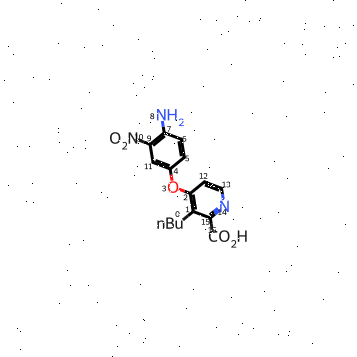 CCCCc1c(Oc2ccc(N)c([N+](=O)[O-])c2)ccnc1C(=O)O